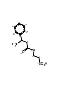 CC(CC(=O)NCCS(=O)(=O)O)c1ccccc1